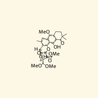 COc1c2c(c(O)c3c4c(c(C)cc13)[C@@H]1O[C@@]3(C(OC)OC)O[C@@H]1[C@@](OC)(O4)[C@@]31CO1)C(=O)C(C)(C)CC2